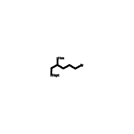 CCCCCCCCC(CCCBr)CCCCCC